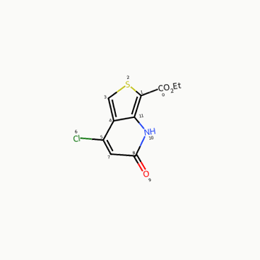 CCOC(=O)c1scc2c(Cl)cc(=O)[nH]c12